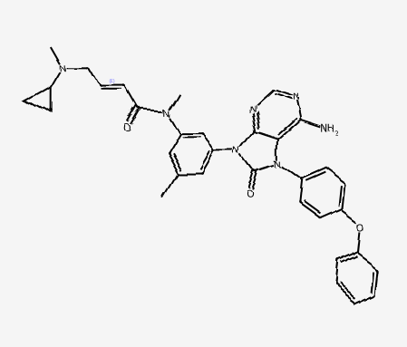 Cc1cc(N(C)C(=O)/C=C/CN(C)C2CC2)cc(-n2c(=O)n(-c3ccc(Oc4ccccc4)cc3)c3c(N)ncnc32)c1